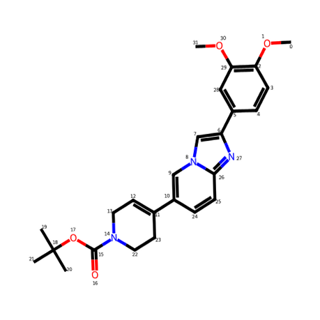 COc1ccc(-c2cn3cc(C4=CCN(C(=O)OC(C)(C)C)CC4)ccc3n2)cc1OC